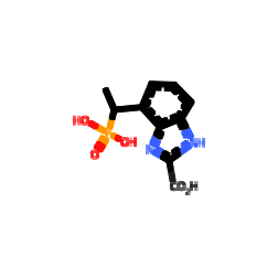 CC(c1cccc2[nH]c(C(=O)O)nc12)P(=O)(O)O